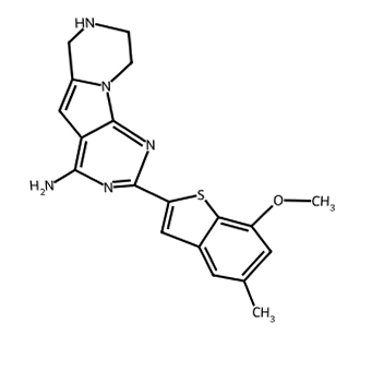 COc1cc(C)cc2cc(-c3nc(N)c4cc5n(c4n3)CCNC5)sc12